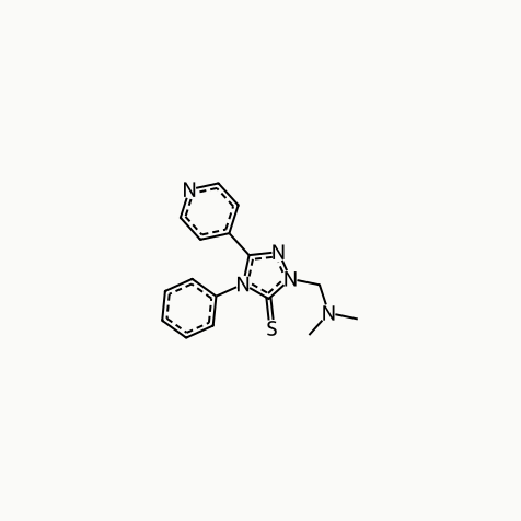 CN(C)Cn1nc(-c2ccncc2)n(-c2ccccc2)c1=S